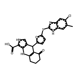 Cc1cc2[nH]c(Sc3ccc(C4C5=C(CCCC5=O)Nc5c4c[nH]c5C(=O)O)o3)nc2cc1Cl